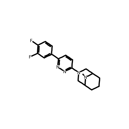 CN1C2CCCC1CN(c1ccc(-c3ccc(F)c(F)c3)nn1)C2